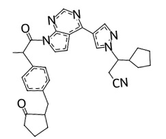 CC(C(=O)n1ccc2c(-c3cnn(C(CC#N)C4CCCC4)c3)ncnc21)c1ccc(CC2CCCC2=O)cc1